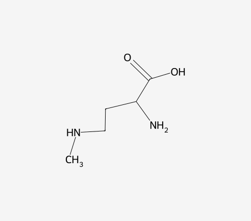 CNCCC(N)C(=O)O